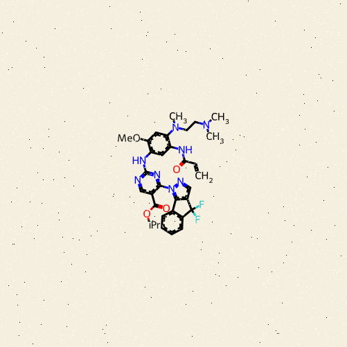 C=CC(=O)Nc1cc(Nc2ncc(C(=O)OC(C)C)c(-n3ncc4c3-c3ccccc3C4(F)F)n2)c(OC)cc1N(C)CCN(C)C